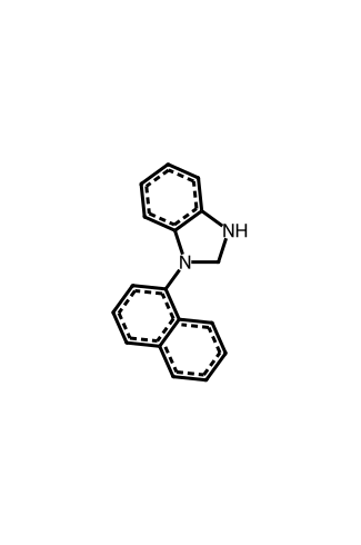 c1ccc2c(c1)NCN2c1cccc2ccccc12